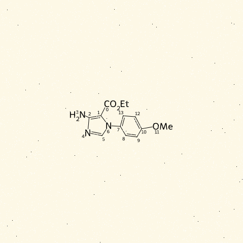 CCOC(=O)c1c(N)ncn1-c1ccc(OC)cc1